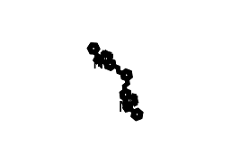 CC1(C)c2cc(CCc3cccc(CCc4ccc5c(c4)C(C)(C)C(C)(C)c4c(-c6ccccc6)cnn4-5)c3)ccc2-n2ncc(-c3ccccc3)c2C1(C)C